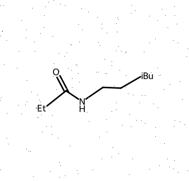 C[CH]C(=O)NCCC(C)CC